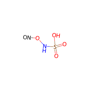 O=NONS(=O)(=O)O